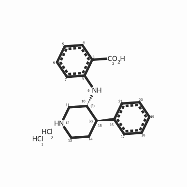 Cl.Cl.O=C(O)c1ccccc1N[C@H]1CNCC[C@@H]1c1ccccc1